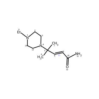 CCN1CCN(C(C)(C)/C=C/C(N)=O)CC1